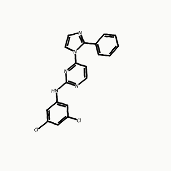 Clc1cc(Cl)cc(Nc2nccc(-n3ccnc3-c3ccccc3)n2)c1